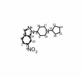 O=[N+]([O-])c1ccc2cnn(C3CCN(C4CCCC4)CC3)c2c1